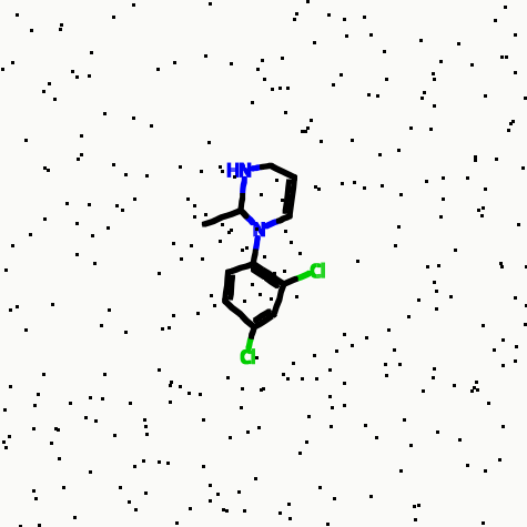 CC1NCC=CN1c1ccc(Cl)cc1Cl